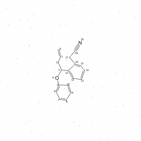 C=CCC(Oc1ccccc1)c1ccccc1CC#N